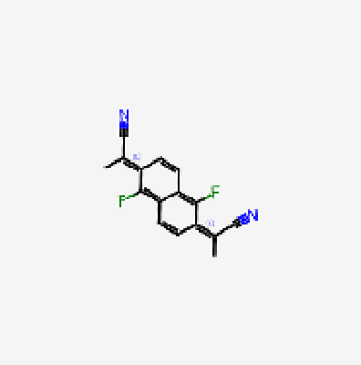 C/C(C#N)=c1\ccc2c(F)/c(=C(\C)C#N)ccc2c1F